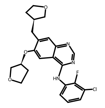 Fc1c(Cl)cccc1Nc1ncnc2cc(C[C@H]3CCOC3)c(O[C@H]3CCOC3)cc12